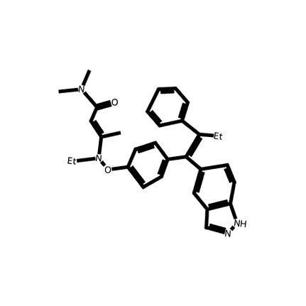 CC/C(=C(/c1ccc(ON(CC)/C(C)=C/C(=O)N(C)C)cc1)c1ccc2[nH]ncc2c1)c1ccccc1